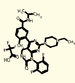 CCN1CCN(c2nc(-c3cc(C(=O)NC(C)C)ccc3C)c3c(n2)N(c2c(F)cccc2F)C(=O)NC3)CC1.O=C(O)C(F)(F)F